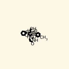 Cc1ccc(S(=O)(=O)C[C@]2(CO)O[C@@H](n3ccc(=O)[nH]c3=O)[C@@H]3OC4(CCCCC4)O[C@@H]32)cc1